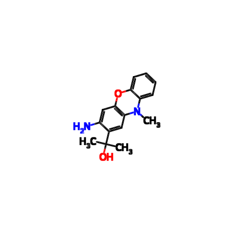 CN1c2ccccc2Oc2cc(N)c(C(C)(C)O)cc21